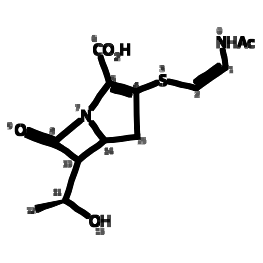 CC(=O)N/C=C\SC1=C(C(=O)O)N2C(=O)C([C@H](C)O)C2C1